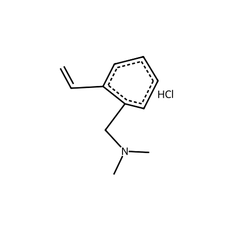 C=Cc1ccccc1CN(C)C.Cl